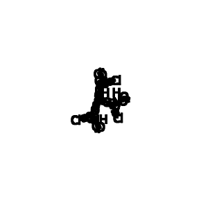 C=C(C)C(=O)OCCNC(=O)OC(COc1ccc(C(C)(c2ccc(OCC(CSc3ccc(Cl)cc3)OC(=O)NCCOC(=O)C(=C)C)cc2)c2ccc(OCC3C[SH](c4ccc(Cl)cc4)N(CCOC(=O)C(=C)C)C(=O)O3)cc2)cc1)CSc1ccc(Cl)cc1